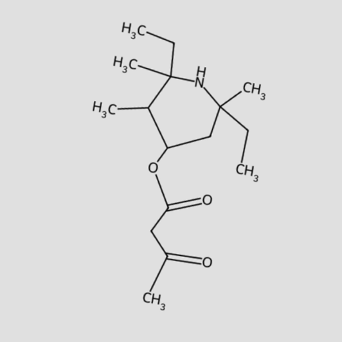 CCC1(C)CC(OC(=O)CC(C)=O)C(C)C(C)(CC)N1